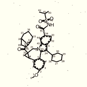 COc1ccc2c(c1)C1CC1(C(=O)N1C3CCCC1CC3)Cn1c-2c(C2CCCCC2)c2ccc(C(=O)NS(=O)(=O)C(C)C)cc21